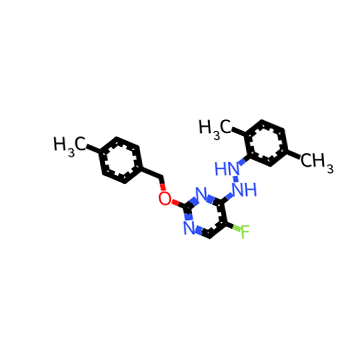 Cc1ccc(COc2ncc(F)c(NNc3cc(C)ccc3C)n2)cc1